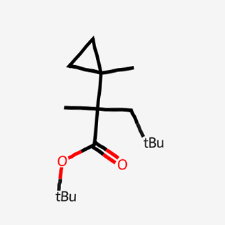 CC(C)(C)CC(C)(C(=O)OC(C)(C)C)C1(C)CC1